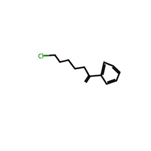 C=C(CCCCCCl)c1ccccc1